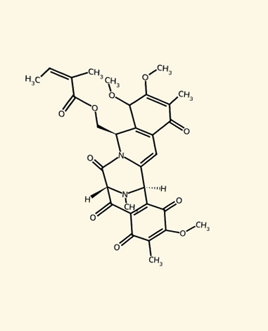 C/C=C(/C)C(=O)OC[C@H]1C2=C(C=C3[C@H]4C5=C(C(=O)C(C)=C(OC)C5=O)C(=O)[C@H](C(=O)N31)N4C)C(=O)C(C)=C(OC)C2OC